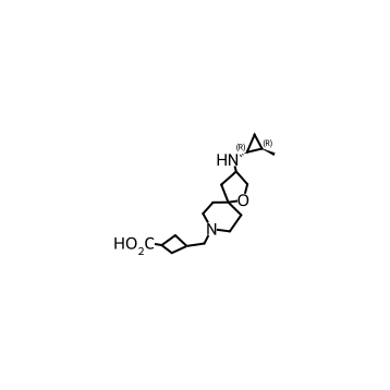 C[C@@H]1C[C@H]1NC1COC2(CCN(CC3CC(C(=O)O)C3)CC2)C1